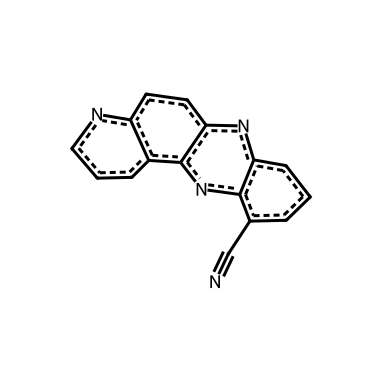 N#Cc1cccc2nc3ccc4ncccc4c3nc12